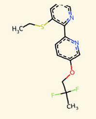 CCSc1cccnc1-c1ccc(OCC(C)(F)F)cn1